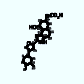 Cc1ccc(-c2coc(-c3nc4c(ccc5cc(OC(=O)O)cc(O)c54)[nH]3)c2)cc1C